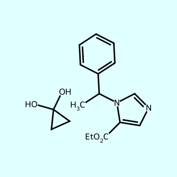 CCOC(=O)c1cncn1C(C)c1ccccc1.OC1(O)CC1